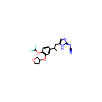 CC(CC1=C[N]C(=NC#N)N1)c1ccc(OC(F)F)c(OC2CCOC2)c1